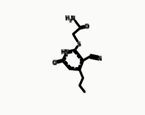 CCCc1cc(=O)[nH]c(SCC(N)=O)c1C#N